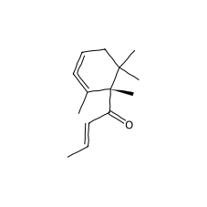 C/C=C/C(=O)[C@]1(C)C(C)=C=CCC1(C)C